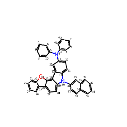 c1ccc(N(c2ccccc2)c2ccc3c(c2)c2c4oc5ccccc5c4ccc2n3-c2ccc3ccccc3c2)cc1